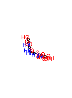 COc1c(NC(=O)c2ccc(NC(=O)c3ccc(NC(=O)[C@H](C)NC(=O)c4ccc(NC(=O)c5c(C)c6ccc(O)cc6oc5=O)cc4)cc3)c(OC)c2O)ccc(C(=O)O)c1O